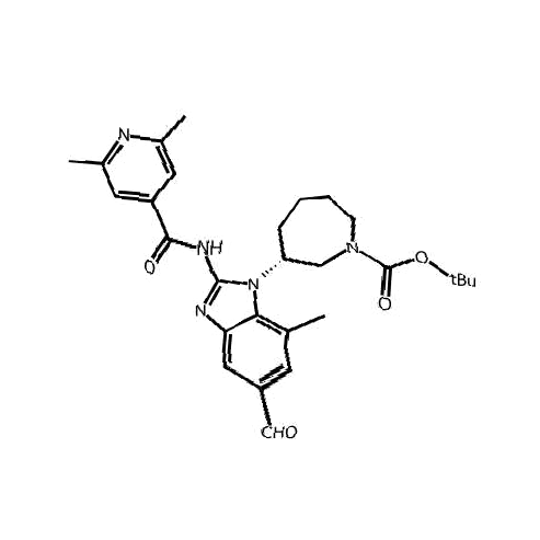 Cc1cc(C(=O)Nc2nc3cc(C=O)cc(C)c3n2[C@@H]2CCCCN(C(=O)OC(C)(C)C)C2)cc(C)n1